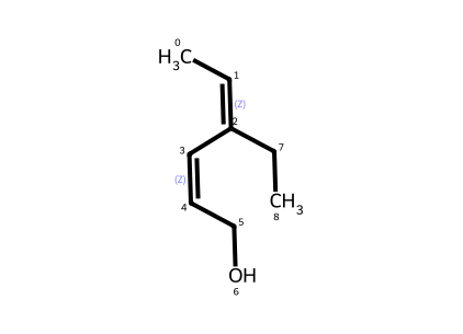 C/C=C(\C=C/CO)CC